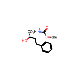 CC(C)(C)OC(N)=O.O=C(O)[C@@H](O)CCc1ccccc1